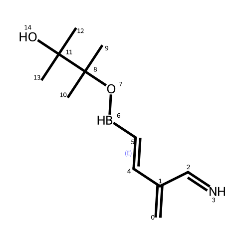 C=C(C=N)/C=C/BOC(C)(C)C(C)(C)O